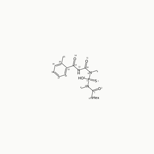 CCCCCCC(=O)N(C)P(O)(=S)N(C)C(=O)NC(=O)c1ccccc1C